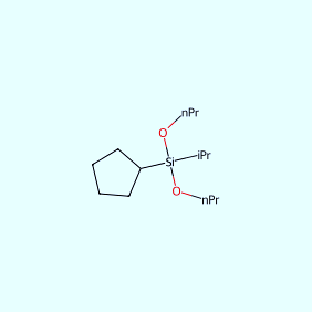 CCCO[Si](OCCC)(C(C)C)C1CCCC1